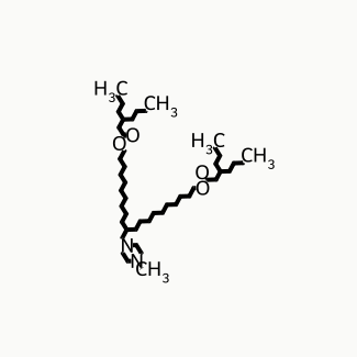 CCCCC(CCCC)CC(=O)OCCCCCCCCCCC(CCCCCCCCCCOC(=O)CC(CCCC)CCCC)CN1CCN(C)CC1